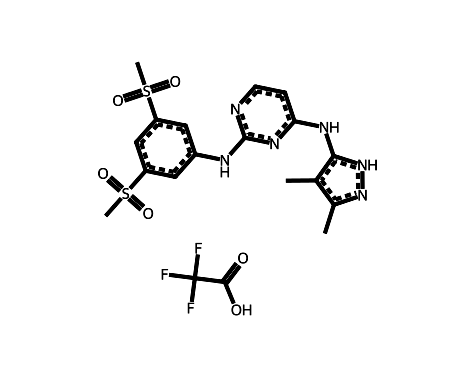 Cc1n[nH]c(Nc2ccnc(Nc3cc(S(C)(=O)=O)cc(S(C)(=O)=O)c3)n2)c1C.O=C(O)C(F)(F)F